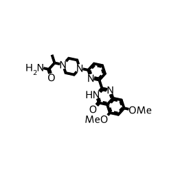 COc1cc(OC)c2c(=O)[nH]c(-c3cccc(N4CCN(C(C)C(N)=O)CC4)n3)nc2c1